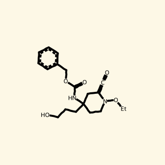 CCON1CCC(CCCO)(NC(=O)OCc2ccccc2)CC1=C=O